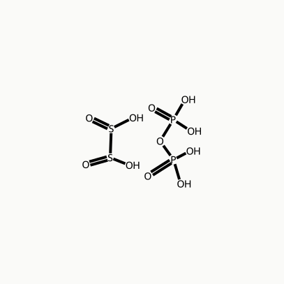 O=P(O)(O)OP(=O)(O)O.O=S(O)S(=O)O